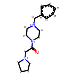 O=C(CN1CCCC1)N1CCN(Cc2ccccc2)CC1